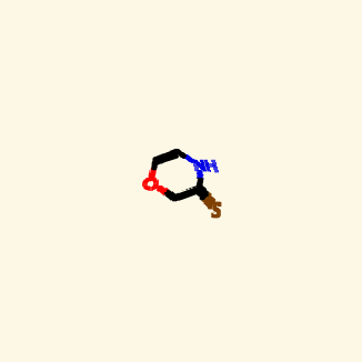 S=C1COC=CN1